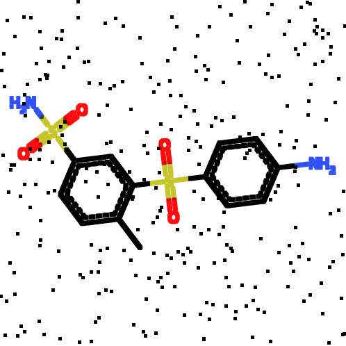 Cc1ccc(S(N)(=O)=O)cc1S(=O)(=O)c1ccc(N)cc1